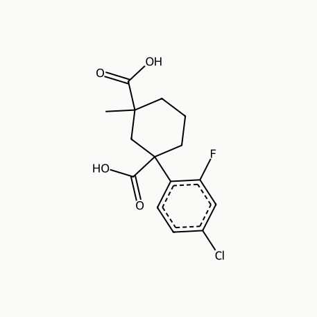 CC1(C(=O)O)CCCC(C(=O)O)(c2ccc(Cl)cc2F)C1